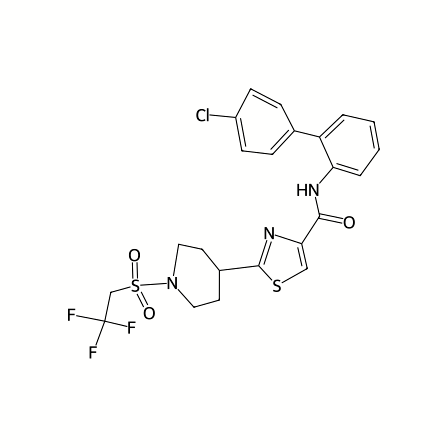 O=C(Nc1ccccc1-c1ccc(Cl)cc1)c1csc(C2CCN(S(=O)(=O)CC(F)(F)F)CC2)n1